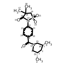 C[C@@H]1C[C@H](C)CN(C(=O)c2ccc(N3C(=O)C(C)(C)CS3(=O)=O)cc2)C1